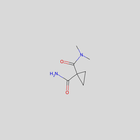 CN(C)C(=O)C1(C(N)=O)CC1